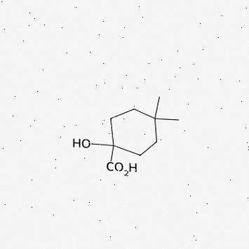 CC1(C)CCC(O)(C(=O)O)CC1